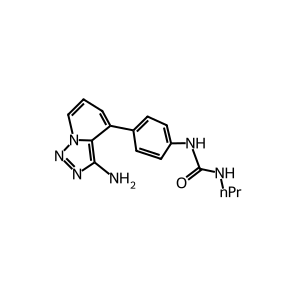 CCCNC(=O)Nc1ccc(-c2cccn3nnc(N)c23)cc1